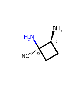 B[C@H]1CC[C@]1(N)C#N